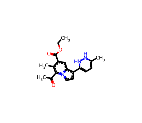 CCOC(=O)c1cc2c(C3=CC=C(C)NN3)ccn2c(C(C)=O)c1C